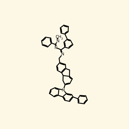 C=N/C(=N\C(=N/Cc1ccc2c(c1)CC1=CC=C(n3c4ccccc4c4ccc(-c5ccccc5)cc43)CC12)c1cccc(-c2ccccc2)c1)c1ccccc1